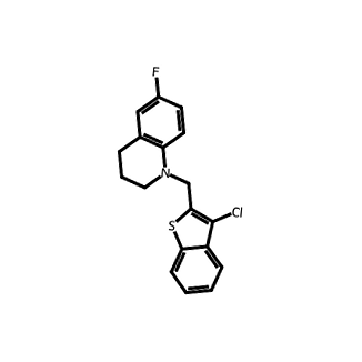 Fc1ccc2c(c1)CCCN2Cc1sc2ccccc2c1Cl